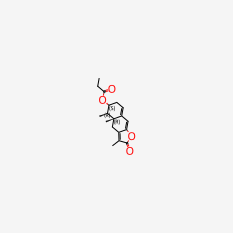 CCC(=O)O[C@H]1CC=C2C=C3OC(=O)C(C)=C3C[C@]2(C)[C@H]1C